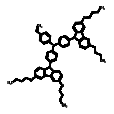 C=Cc1ccc(N(c2ccc(-n3c4ccc(CCCC)cc4c4cc(OCCCC)ccc43)cc2)c2ccc(-n3c4ccc(OCCCC)cc4c4cc(OCCCC)ccc43)cc2)cc1